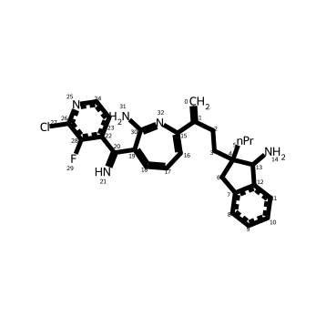 C=C(CCC1(CCC)Cc2ccccc2C1N)C1=CC=C=C(C(=N)c2ccnc(Cl)c2F)C(N)=N1